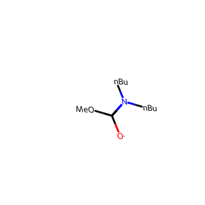 CCCCN(CCCC)C([O])OC